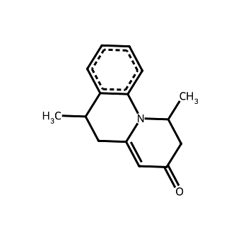 CC1CC2=CC(=O)CC(C)N2c2ccccc21